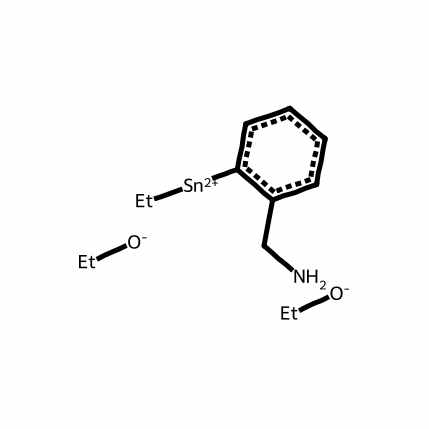 CC[O-].CC[O-].C[CH2][Sn+2][c]1ccccc1CN